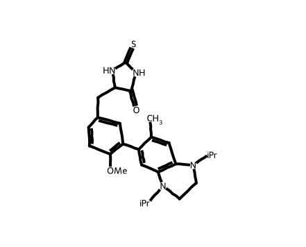 COc1ccc(CC2NC(=S)NC2=O)cc1-c1cc2c(cc1C)N(C(C)C)CCN2C(C)C